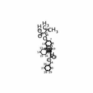 CC(C)C(COc1ccc2c(c1)[C@@]13CCCC[C@H]1[C@@H](C2)N(C(=O)OCc1ccccc1)CC3)C(=O)O